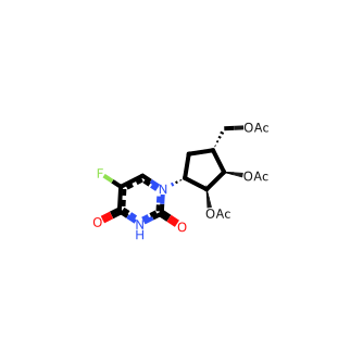 CC(=O)OC[C@H]1C[C@@H](n2cc(F)c(=O)[nH]c2=O)[C@H](OC(C)=O)[C@@H]1OC(C)=O